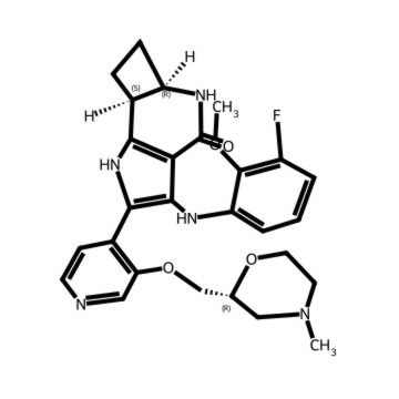 COc1c(F)cccc1Nc1c(-c2ccncc2OC[C@H]2CN(C)CCO2)[nH]c2c1C(=O)N[C@@H]1CC[C@H]21